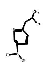 CC(O)Cc1ccc(B(O)O)cn1